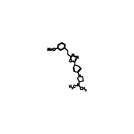 COc1cccc(CCc2nnc(C3C=CC(N4CCC(N(C)C)C4)=CC3)o2)c1